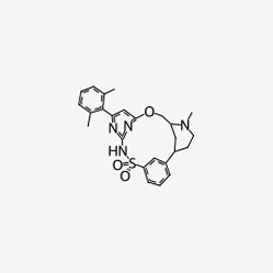 Cc1cccc(C)c1-c1cc2nc(n1)NS(=O)(=O)c1cccc(c1)C1CCN(C)C(CO2)C1